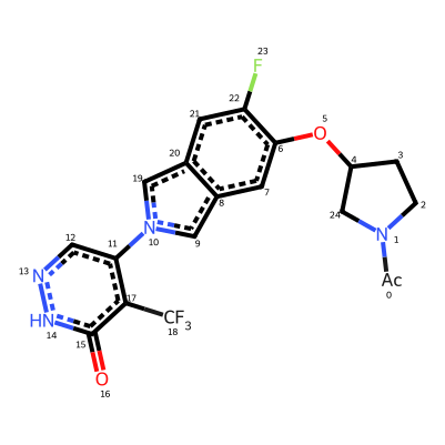 CC(=O)N1CCC(Oc2cc3cn(-c4cn[nH]c(=O)c4C(F)(F)F)cc3cc2F)C1